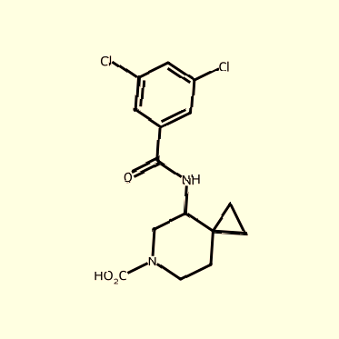 O=C(NC1CN(C(=O)O)CCC12CC2)c1cc(Cl)cc(Cl)c1